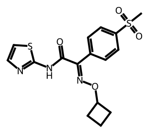 CS(=O)(=O)c1ccc(/C(=N\OC2CCC2)C(=O)Nc2nccs2)cc1